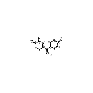 C=C(C1=NNC(=O)CC1)c1cc[n+]([O-])cc1